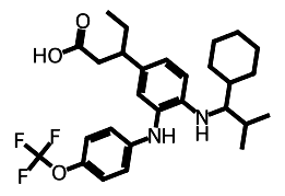 CCC(CC(=O)O)c1ccc(NC(C(C)C)C2CCCCC2)c(Nc2ccc(OC(F)(F)F)cc2)c1